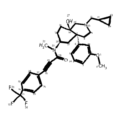 COc1cccc([C@@]23CCN(CC4CC4)C[C@@]2(O)CC[C@H](N(C)C(=O)C#Cc2ccc(C(F)(F)F)cc2)C3)c1